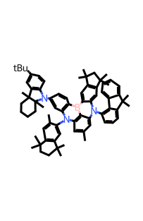 Cc1cc2c3c(c1)N(c1cccc4c1-c1ccccc1C4(C)C)c1cc4c(cc1B3c1ccc(N3c5ccc(C(C)(C)C)cc5C5(C)CCCCC35C)cc1N2c1cc2c(cc1C)C(C)(C)CCC2(C)C)C(C)(C)CC4(C)C